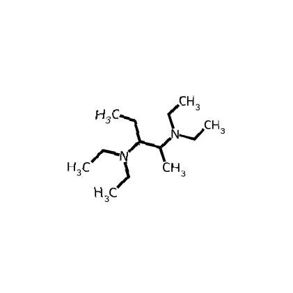 CC[C](C(C)N(CC)CC)N(CC)CC